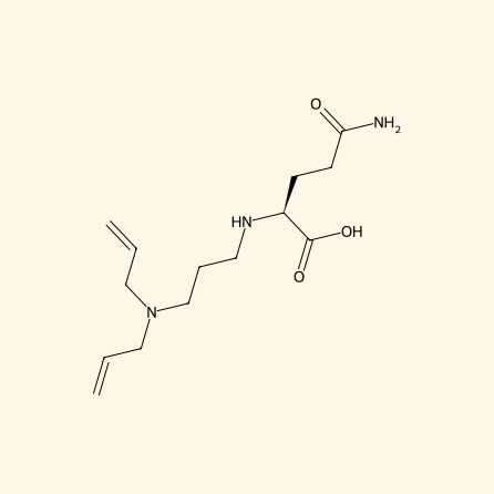 C=CCN(CC=C)CCCN[C@@H](CCC(N)=O)C(=O)O